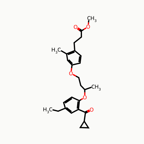 CCc1ccc(OC(C)CCOc2ccc(CCC(=O)OC)c(C)c2)c(C(=O)C2CC2)c1